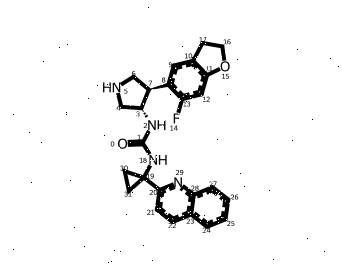 O=C(N[C@@H]1CNC[C@H]1c1cc2c(cc1F)OCC2)NC1(c2ccc3ccccc3n2)CC1